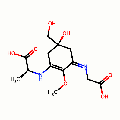 COC1=C(N[C@@H](C)C(=O)O)C[C@](O)(CO)CC1=NCC(=O)O